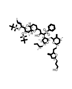 C=C1C[C@H](CCCO)OC1CC[C@H]1C[C@@H](C)C(=C)C(C[C@@H]2O[C@H](C[C@H](C)CC)[C@H](C)[C@H]2C(C(O)CC2CC[C@@H]3O[C@@H]([C@H](/C=C/I)O[Si](C)(C)C(C)(C)C)[C@@H](O[Si](C)(C)C(C)(C)C)[C@@H](C)[C@H]3O2)S(=O)(=O)c2ccccc2)O1